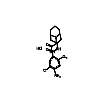 COc1cc(N)c(Cl)cc1C(=O)NC1CC2CCCC(C1)N2CC(=O)O.Cl